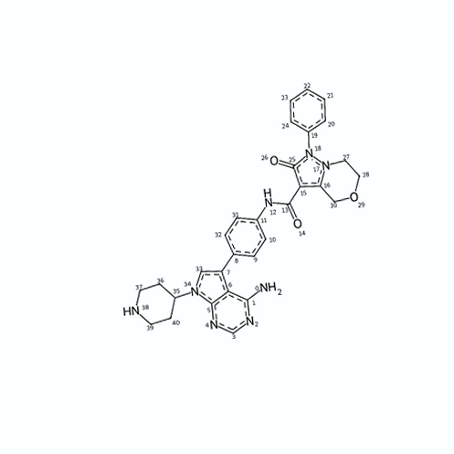 Nc1ncnc2c1c(-c1ccc(NC(=O)c3c4n(n(-c5ccccc5)c3=O)CCOC4)cc1)cn2C1CCNCC1